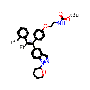 CC/C(=C(/c1ccc(OCCNC(=O)OC(C)(C)C)cc1)c1ccc2c(cnn2C2CCCCO2)c1)c1ccccc1C(C)C